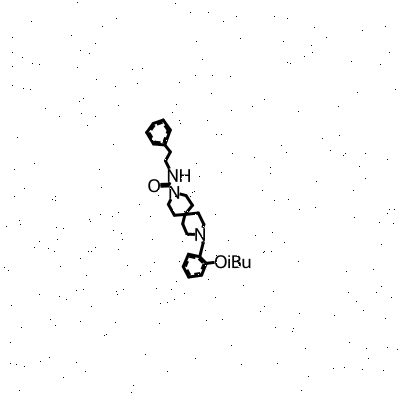 CC(C)COc1ccccc1CN1CCC2(CC1)CCN(C(=O)NCCc1ccccc1)CC2